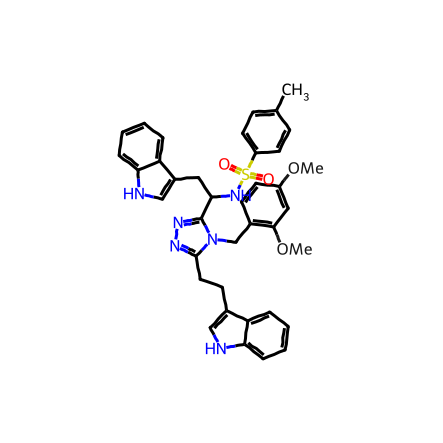 COc1ccc(Cn2c(CCc3c[nH]c4ccccc34)nnc2C(Cc2c[nH]c3ccccc23)NS(=O)(=O)c2ccc(C)cc2)c(OC)c1